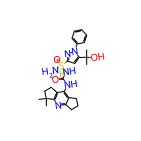 CC(C)(O)c1cc([SH](N)(=O)NC(=O)Nc2c3c(nc4c2CCC4(C)C)CCC3)nn1-c1ccccc1